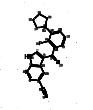 N#Cc1cnc2[nH]cc(C(=O)c3cccc(N4CCCC4)c3F)c2c1